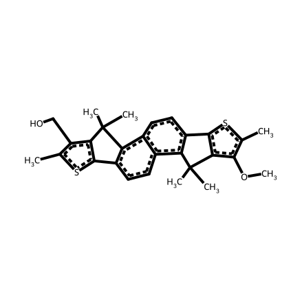 COc1c(C)sc2c1C(C)(C)c1c-2ccc2c3c(ccc12)-c1sc(C)c(CO)c1C3(C)C